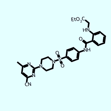 CCOC(=O)CNc1ccccc1C(=O)Nc1ccc(S(=O)(=O)N2CCN(c3nc(C)cc(C#N)n3)CC2)cc1